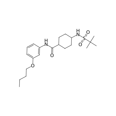 CCCCOc1cccc(NC(=O)C2CCC(NS(=O)(=O)C(C)(C)C)CC2)c1